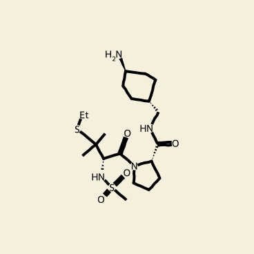 CCSC(C)(C)[C@@H](NS(C)(=O)=O)C(=O)N1CCC[C@H]1C(=O)NC[C@H]1CC[C@H](N)CC1